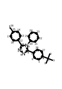 CC(C)(C)c1ccc(-c2nnc(-c3ccc(I)cc3)n2-c2ccccc2)cc1